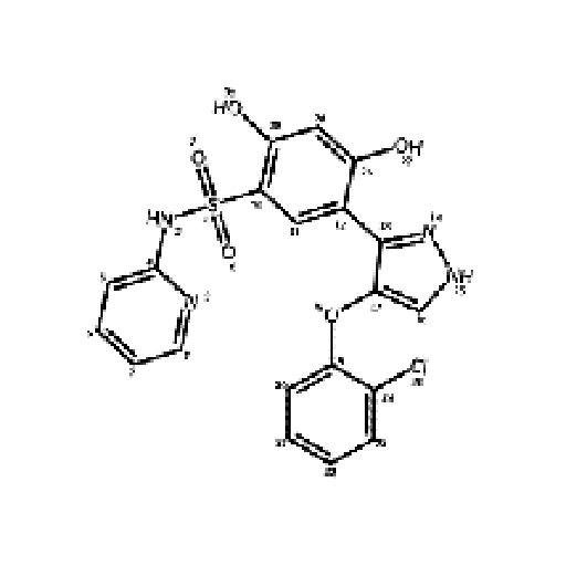 O=S(=O)(Nc1ccccn1)c1cc(-c2n[nH]cc2Oc2ccccc2Cl)c(O)cc1O